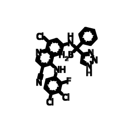 BC(Nc1cc(Cl)c2ncc(C#N)c(Nc3ccc(Cl)c(Cl)c3F)c2c1)(c1ccccc1)c1c[nH]nn1